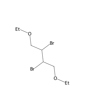 CCOCC(Br)C(Br)COCC